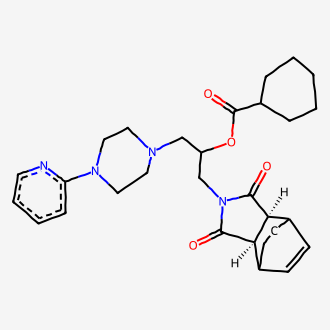 O=C(OC(CN1CCN(c2ccccn2)CC1)CN1C(=O)[C@@H]2C3C=CC(CC3)[C@@H]2C1=O)C1CCCCC1